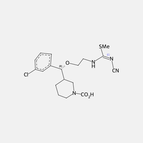 CS/C(=N/C#N)NCCO[C@@H](c1cccc(Cl)c1)C1CCCN(C(=O)O)C1